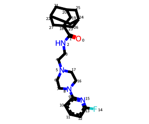 O=C(NCCN1CCN(c2cccc(F)n2)CC1)C12CC3CC(CC(C3)C1)C2